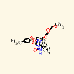 COCCOCCOCC[N+](C)(C)C(CN1CC(C)(C)NC1=O)OS(=O)(=O)c1ccc(C)cc1